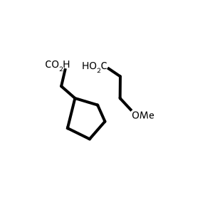 COCCC(=O)O.O=C(O)CC1CCCC1